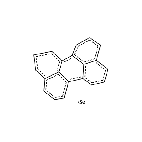 [Se].c1cc2cccc3c4cccc5cccc(c(c1)c23)c54